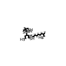 CC(CCS)CCS.CC(CS)(CS)CS.CC(CS)CCCCCCS